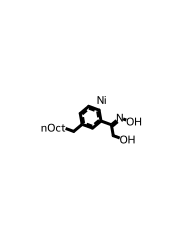 CCCCCCCCCc1cccc(C(CO)=NO)c1.[Ni]